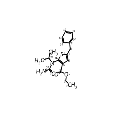 CCOC(=O)c1cc(Cc2ccccc2)sc1N(C(N)=O)C(C)C